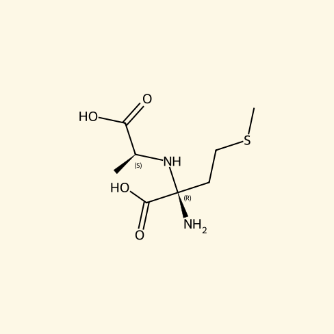 CSCC[C@@](N)(N[C@@H](C)C(=O)O)C(=O)O